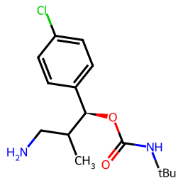 CC(CN)[C@H](OC(=O)NC(C)(C)C)c1ccc(Cl)cc1